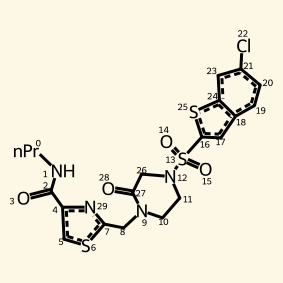 CCCNC(=O)c1csc(CN2CCN(S(=O)(=O)c3cc4ccc(Cl)cc4s3)CC2=O)n1